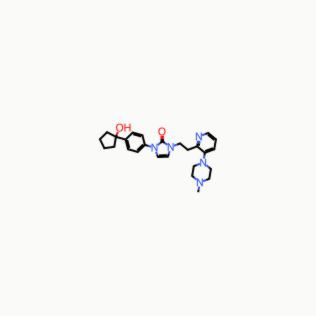 CN1CCN(c2cccnc2CCn2ccn(-c3ccc(C4(O)CCCC4)cc3)c2=O)CC1